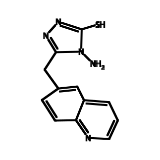 Nn1c(S)nnc1Cc1ccc2ncccc2c1